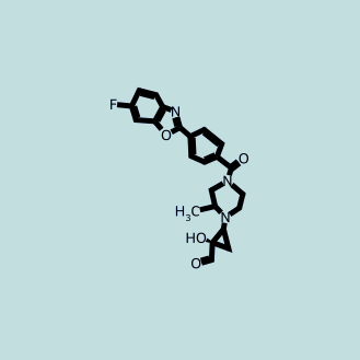 CC1CN(C(=O)c2ccc(-c3nc4ccc(F)cc4o3)cc2)CCN1C1C[C@]1(O)C=O